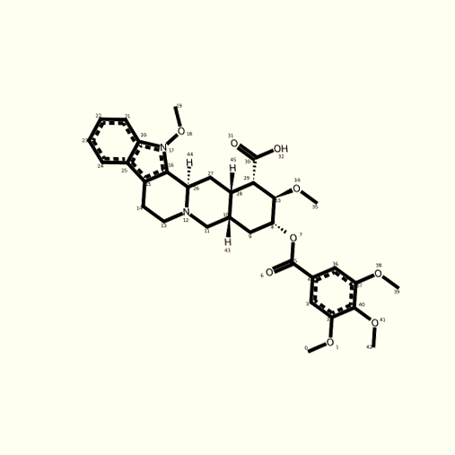 COc1cc(C(=O)O[C@@H]2C[C@@H]3CN4CCc5c(n(OC)c6ccccc56)[C@H]4C[C@@H]3[C@H](C(=O)O)[C@H]2OC)cc(OC)c1OC